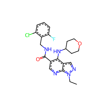 CCn1ncc2c(NC3CCOCC3)c(C(=O)NCc3c(F)cccc3Cl)cnc21